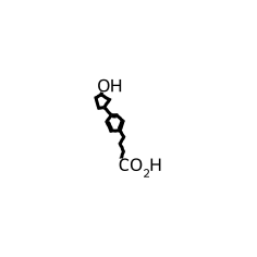 O=C(O)CCCCc1ccc(C2CCC(O)C2)cc1